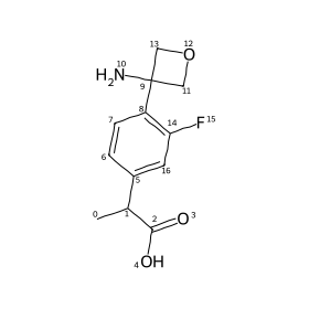 CC(C(=O)O)c1ccc(C2(N)COC2)c(F)c1